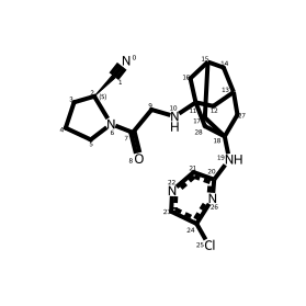 N#C[C@@H]1CCCN1C(=O)CNC12CC3CC(C1)CC(Nc1cncc(Cl)n1)(C3)C2